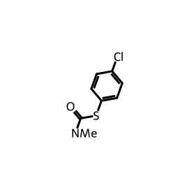 CNC(=O)Sc1ccc(Cl)cc1